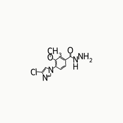 COc1cc(C(=O)NN)ccc1-n1cnc(Cl)c1